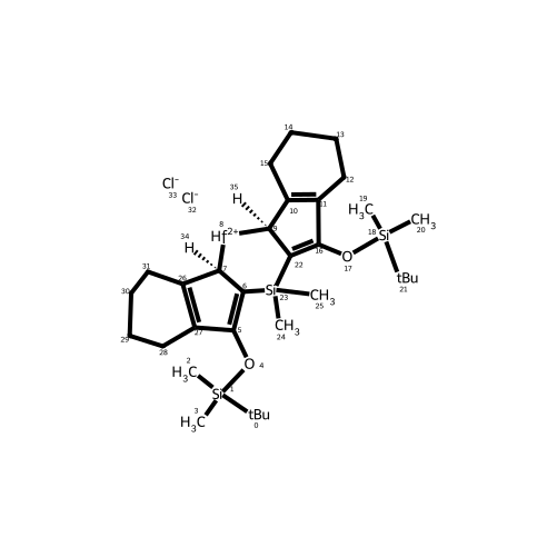 CC(C)(C)[Si](C)(C)OC1=C2[C@H]([Hf+2][C@H]3C4=C(CCCC4)C(O[Si](C)(C)C(C)(C)C)=C3[Si]2(C)C)C2=C1CCCC2.[Cl-].[Cl-]